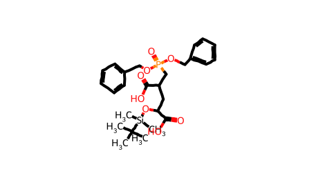 CC(C)(C)[Si](C)(C)OC(CC(CP(=O)(OCc1ccccc1)OCc1ccccc1)C(=O)O)C(=O)O